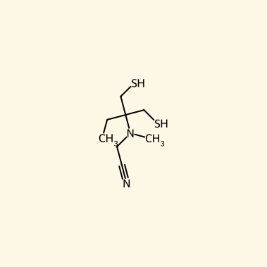 CCC(CS)(CS)N(C)CC#N